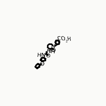 O=C(CN[C@H]1CCCCN(Cc2ccc(C(=O)O)cc2)C1=O)Nc1ccc(Oc2ccccc2)cc1